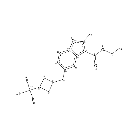 CCOC(=O)c1c(C)oc2ccc(CC3CC(C(F)(F)F)C3)cc12